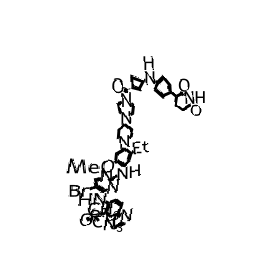 CCc1cc(Nc2ncc(Br)c(Nc3ccc4nccnc4c3P(C)(C)=O)n2)c(OC)cc1N1CCC(N2CCN(C(=O)[C@H]3C[C@H](Nc4ccc(C5CCC(=O)NC5=O)cc4)C3)CC2)CC1